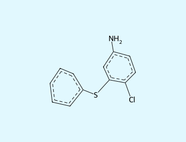 Nc1ccc(Cl)c(Sc2ccccc2)c1